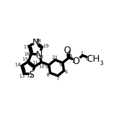 CCOC(=O)C1CCCC(C2c3sccc3-c3cncn32)C1